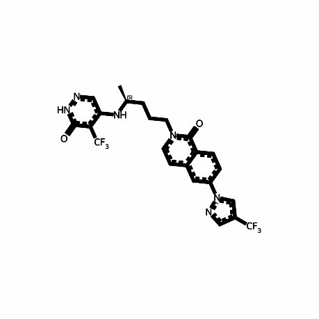 C[C@@H](CCCn1ccc2cc(-n3cc(C(F)(F)F)cn3)ccc2c1=O)Nc1cn[nH]c(=O)c1C(F)(F)F